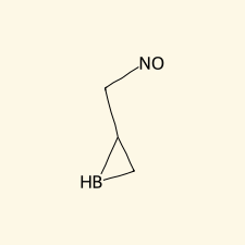 O=NCC1BC1